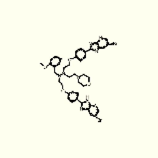 COc1ccccc1CN(CCOc1ccc(-c2nc3cc(Br)cnc3[nH]2)cc1)N(CCOc1ccc(-c2nc3cc(Br)cnc3[nH]2)cc1)CCN1CCOCC1